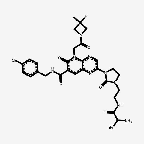 CC(C)C(N)C(=O)NCCN1CCN(c2cnc3c(cc(C(=O)NCc4ccc(Cl)cc4)c(=O)n3CC(=O)N3CC(C)(F)C3)n2)C1=O